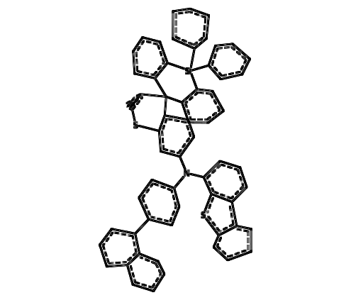 c1ccc([Si]2(c3ccccc3)c3ccccc3C3(c4ccccc4Sc4cc(N(c5ccc(-c6cccc7ccccc67)cc5)c5cccc6c5sc5ccccc56)ccc43)c3ccccc32)cc1